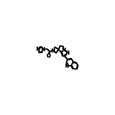 O=C(Cn1ccnc1)N1CC2(CCn3nc(-c4cnc5ccccc5c4)cc32)C1